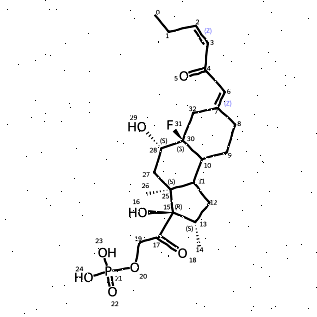 CC/C=C\C(=O)/C=C1/CCC2C3C[C@H](C)[C@](O)(C(=O)COP(=O)(O)O)[C@@]3(C)C[C@H](O)[C@]2(F)C1